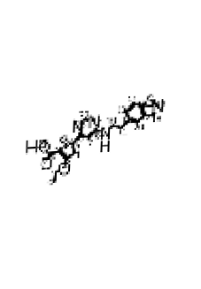 CCOc1cc(-c2cc(NCCc3ccc4sncc4c3)ncn2)sc1C(=O)O